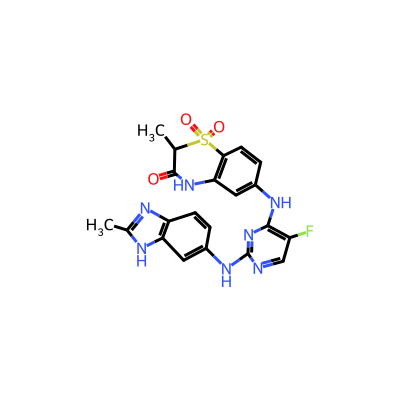 Cc1nc2ccc(Nc3ncc(F)c(Nc4ccc5c(c4)NC(=O)C(C)S5(=O)=O)n3)cc2[nH]1